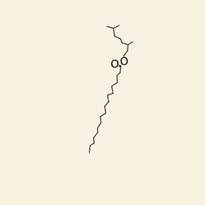 CCCCCCCCCCCCCCCCCC(=O)OCCC(C)CCCC(C)C